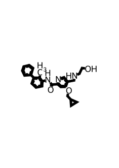 Cc1c(NC(=O)c2cc(OCC3CC3)c(CNCCO)cn2)cccc1-c1ccccc1